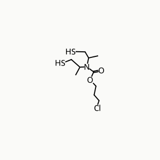 CC(CS)N(C(=O)OCCCCl)C(C)CS